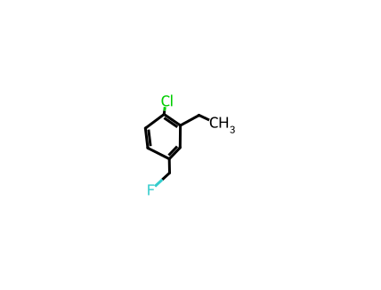 CCc1cc(CF)ccc1Cl